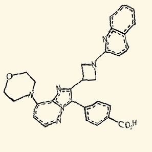 O=C(O)c1ccc(-c2c(C3CN(c4ccc5ccccc5n4)C3)nc3c(N4CCOCC4)ccnn23)cc1